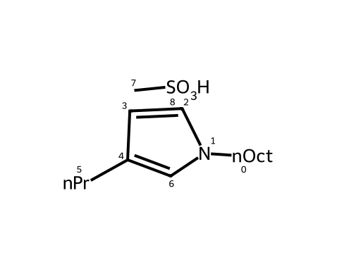 CCCCCCCCn1ccc(CCC)c1.CS(=O)(=O)O